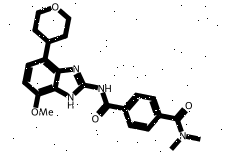 COc1ccc(C2CCOCC2)c2nc(NC(=O)c3ccc(C(=O)N(C)C)cc3)[nH]c12